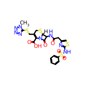 Cn1nnnc1SCC1=C(C(=O)O)N2C(=O)C(NC(=O)Cc3csc(NS(=O)(=O)c4ccccc4)n3)[C@H]2SC1